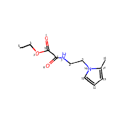 CCOC(=O)C(=O)NCCn1cccc1C